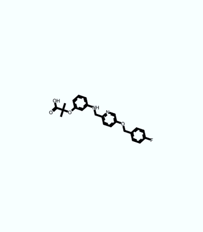 CC(C)(Oc1cccc(NCc2ccc(OCc3ccc(F)cc3)cn2)c1)C(=O)O